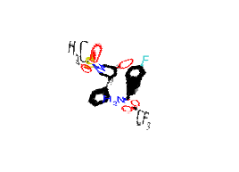 CS(=O)(=O)N1C[C@@H](Oc2cc(C(N)OC(=O)C(F)(F)F)ccc2F)C[C@H](c2ccccc2)C1